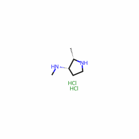 CN[C@H]1CCN[C@H]1C.Cl.Cl